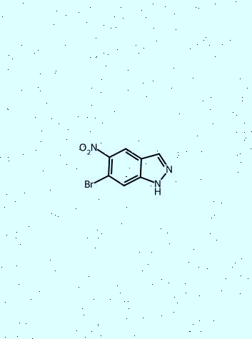 O=[N+]([O-])c1cc2cn[nH]c2cc1Br